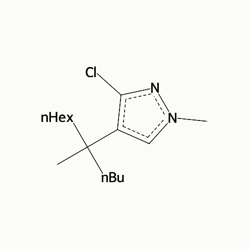 CCCCCCC(C)(CCCC)c1cn(C)nc1Cl